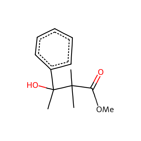 COC(=O)C(C)(C)C(C)(O)c1ccccc1